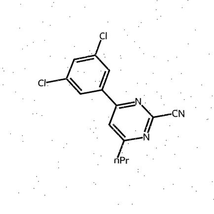 CCCc1cc(-c2cc(Cl)cc(Cl)c2)nc(C#N)n1